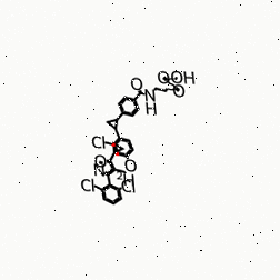 [2H]C(Oc1ccc(C2CC2c2ccc(C(=O)NCCS(=O)(=O)O)cc2)c(Cl)c1)c1c(-c2c(Cl)cccc2Cl)noc1C1CC1